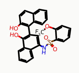 O=S(=O)(Nc1cc(-c2c(O)ccc3ccccc23)c(O)c2ccccc12)c1ccccc1OC(F)(F)F